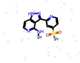 CC(C)Nc1nccc2[nH]nc(-c3cc(S(=O)(=O)C(C)C)ccn3)c12